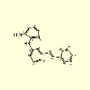 Nc1cccnc1Nc1cccc(/C=C/c2cncnc2)c1